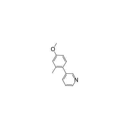 COc1ccc(-c2cccnc2)c(C)c1